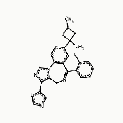 CC1CC(C)(c2ccc3c(c2)C(c2ccccc2I)=NCc2c(-c4cnco4)ncn2-3)C1